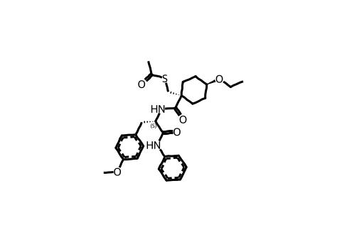 CCO[C@H]1CC[C@@](CSC(C)=O)(C(=O)N[C@@H](Cc2ccc(OC)cc2)C(=O)Nc2ccccc2)CC1